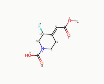 COC(=O)C=C1CCN(C(=O)O)C[C@H]1F